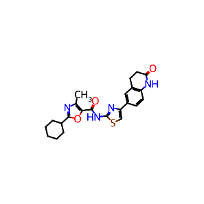 Cc1nc(C2CCCCC2)oc1C(=O)Nc1nc(-c2ccc3c(c2)CCC(=O)N3)cs1